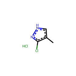 Cc1c[nH]nc1Cl.Cl